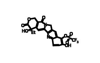 CC[C@@]1(O)C(=O)OCc2c1cc1n(c2=O)Cc2cc3c(OS(=O)(=O)C(F)(F)F)c(O)ccc3nc2-1